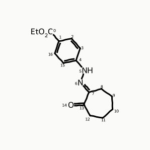 CCOC(=O)c1ccc(NN=C2CCCCCC2=O)cc1